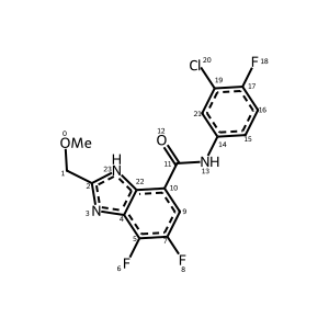 COCc1nc2c(F)c(F)cc(C(=O)Nc3ccc(F)c(Cl)c3)c2[nH]1